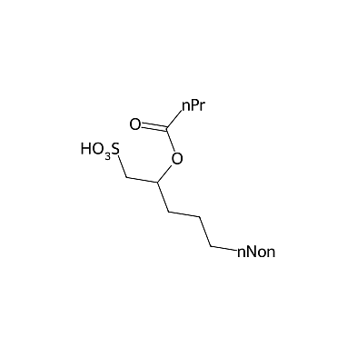 CCCCCCCCCCCCC(CS(=O)(=O)O)OC(=O)CCC